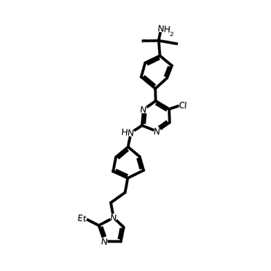 CCc1nccn1CCc1ccc(Nc2ncc(Cl)c(-c3ccc(C(C)(C)N)cc3)n2)cc1